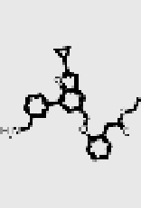 CCOC(=O)Cc1ccccc1OCc1cc(-c2cccc(CN)c2)c2oc(C3CC3)cc2c1